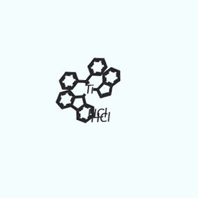 C1=C[CH]([Ti](=[C](c2ccccc2)c2ccccc2)[CH]2c3ccccc3-c3ccccc32)c2ccccc21.Cl.Cl